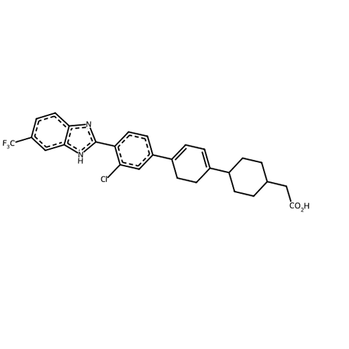 O=C(O)CC1CCC(C2=CC=C(c3ccc(-c4nc5ccc(C(F)(F)F)cc5[nH]4)c(Cl)c3)CC2)CC1